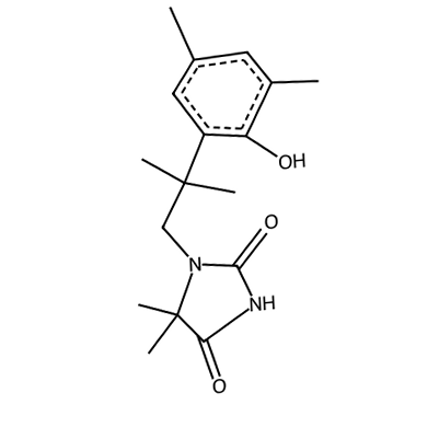 Cc1cc(C)c(O)c(C(C)(C)CN2C(=O)NC(=O)C2(C)C)c1